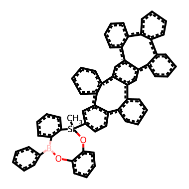 C[Si]1(c2ccc3c4ccccc4c4cc5c6ccccc6c6ccccc6c6ccccc6c5cc4c4ccccc4c3c2)Oc2ccccc2OB(c2ccccc2)c2ccccc21